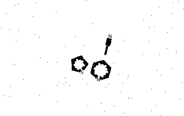 CC#N.c1ccncc1.c1ccsc1